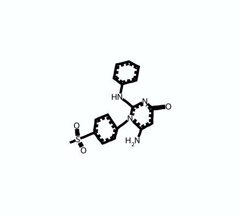 CS(=O)(=O)c1ccc(-n2c(N)cc(=O)nc2Nc2ccccc2)cc1